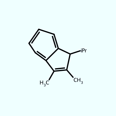 CC1=C(C)C(C(C)C)c2ccccc21